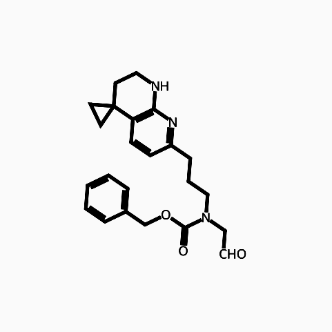 O=CCN(CCCc1ccc2c(n1)NCCC21CC1)C(=O)OCc1ccccc1